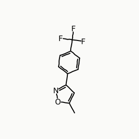 Cc1cc(-c2ccc(C(F)(F)F)cc2)no1